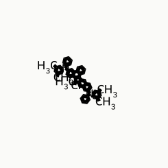 Cc1cc(C)cc(N(c2ccccc2)c2ccc3cc4c(cc3c2)C(C)(C)c2c-4c3ccccc3c3cc(N(c4ccccc4)c4cc(C)cc(C)c4)ccc23)c1